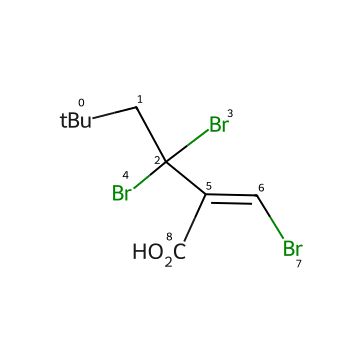 CC(C)(C)CC(Br)(Br)C(=CBr)C(=O)O